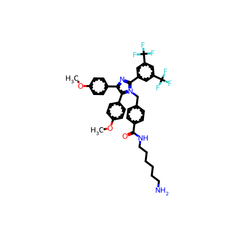 COc1ccc(-c2nc(-c3cc(C(F)(F)F)cc(C(F)(F)F)c3)n(Cc3ccc(C(=O)NCCCCCCN)cc3)c2-c2ccc(OC)cc2)cc1